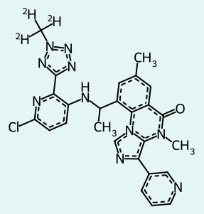 [2H]C([2H])([2H])n1nnc(-c2nc(Cl)ccc2NC(C)c2cc(C)cc3c(=O)n(C)c4c(-c5cccnc5)ncn4c23)n1